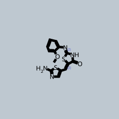 COc1ccccc1/N=C1/NC(=O)/C(=C/c2cnc(N)s2)S1